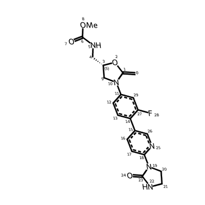 C=C1O[C@@H](CNC(=O)OC)CN1c1ccc(-c2ccc(N3CCNC3=O)nc2)c(F)c1